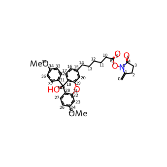 C=C1CCC(=O)N1OC(=O)CCCCCc1ccc2c(c1)Oc1cc(OC)ccc1C2(O)c1ccc(OC)cc1